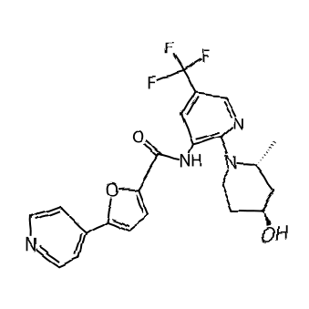 C[C@@H]1C[C@@H](O)CCN1c1ncc(C(F)(F)F)cc1NC(=O)c1ccc(-c2ccncc2)o1